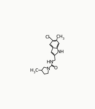 Cc1cc2[nH]c(CNC(=O)N3CCC(C)C3)cc2cc1Cl